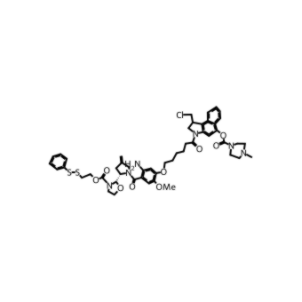 C=C1C[C@@H](C2OCCN2C(=O)OCCSSc2ccccc2)N(C(=O)c2cc(OC)c(OCCCCCC(=O)N3CC(CCl)c4c3cc(OC(=O)N3CCN(C)CC3)c3ccccc43)cc2N)C1